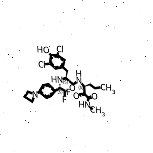 CCC[C@H](NC(=O)[C@H](Cc1cc(Cl)c(O)c(Cl)c1)N[C@@H](c1ccc(N2CCC2)cc1)C(F)F)C(=O)C(=O)NC